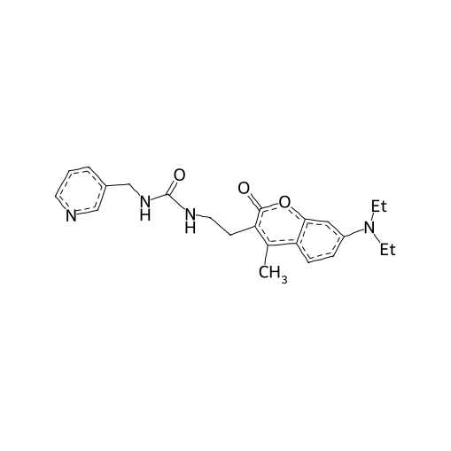 CCN(CC)c1ccc2c(C)c(CCNC(=O)NCc3cccnc3)c(=O)oc2c1